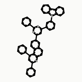 c1ccc(-c2cc(-c3ccccc3)c3c(ccc4cc(-c5cc(-c6cccc(-n7c8ccccc8c8ccccc87)c6)nc(-c6ccccc6)n5)ccc43)n2)cc1